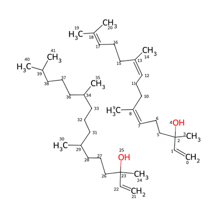 C=CC(C)(O)CCC=C(C)CCC=C(C)CCC=C(C)C.C=CC(C)(O)CCCC(C)CCCC(C)CCCC(C)C